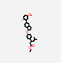 CCOC(=O)CC(C=C(C)C)c1ccc(O[C@@H]2CCc3cc(-c4cc(OC)ccc4F)ccc32)cc1